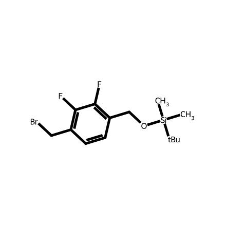 CC(C)(C)[Si](C)(C)OCc1ccc(CBr)c(F)c1F